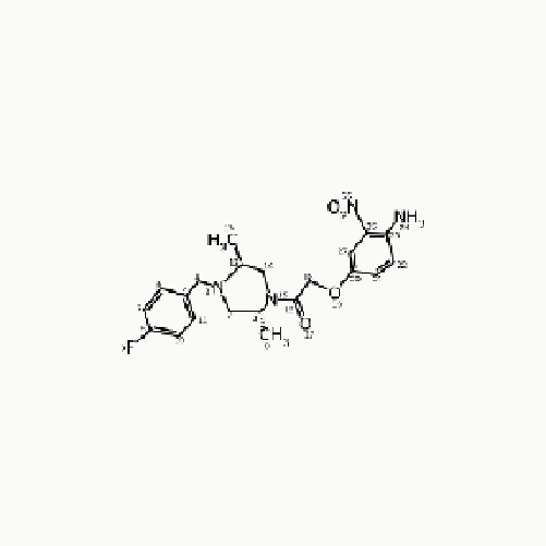 C[C@@H]1CN(Cc2ccc(F)cc2)[C@@H](C)CN1C(=O)COc1ccc(N)c([N+](=O)[O-])c1